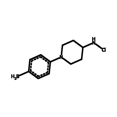 Bc1ccc(N2CCC(NCl)CC2)cc1